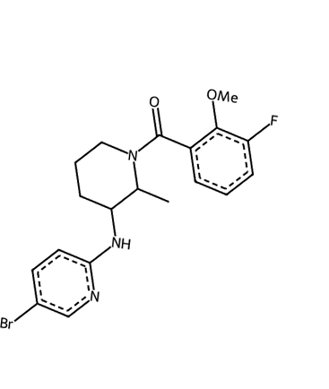 COc1c(F)cccc1C(=O)N1CCCC(Nc2ccc(Br)cn2)C1C